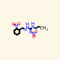 CCCNC(=N[N+](=O)[O-])NN=Cc1ccccc1[N+](=O)[O-]